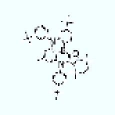 Cc1cc2c3c(c1)N(c1ccc(C(C)(C)C)cc1)c1c(oc4c1C(C)(C)CCC4(C)C)B3c1ccc(C(C)(C)C)cc1N2c1cccc(C(C)(C)C)c1